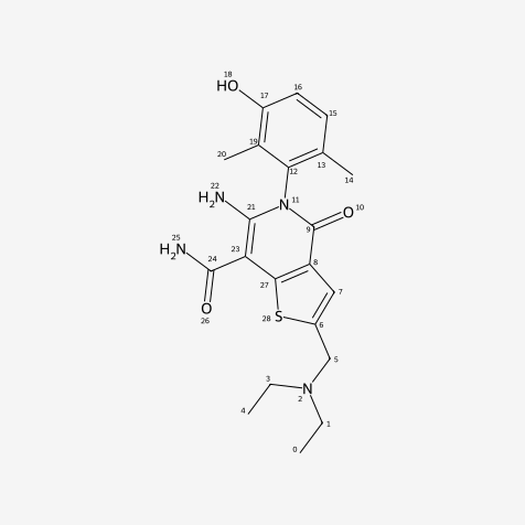 CCN(CC)Cc1cc2c(=O)n(-c3c(C)ccc(O)c3C)c(N)c(C(N)=O)c2s1